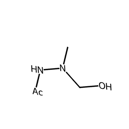 CC(=O)NN(C)CO